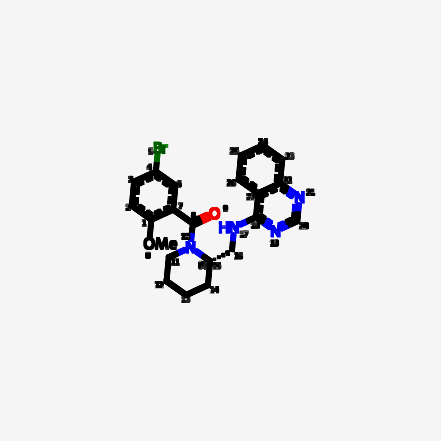 COc1ccc(Br)cc1C(=O)N1CCCC[C@H]1CNc1ncnc2ccccc12